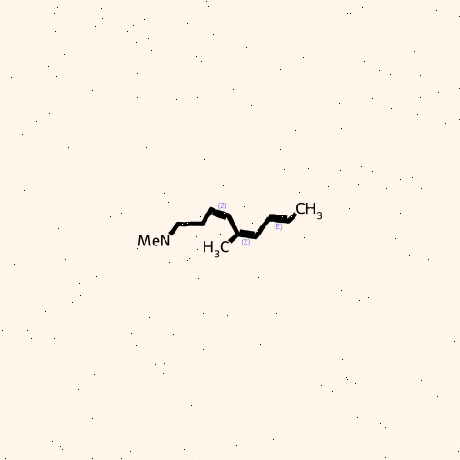 C/C=C/C=C(C)\C=C/CCNC